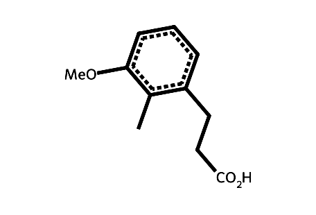 COc1cccc(CCC(=O)O)c1C